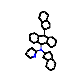 c1ccc(N(c2ccc3ccccc3c2)c2c3ccccc3c(-c3ccc4ccccc4c3)c3ccccc23)nc1